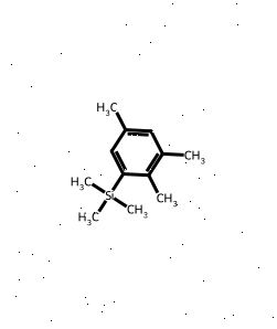 Cc1cc(C)c(C)c([Si](C)(C)C)c1